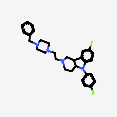 Fc1ccc(N2c3ccc(F)cc3C3CN(CCN4CCN(Cc5ccccc5)CC4)CCC32)cc1